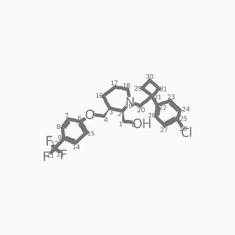 OC[C@H]1[C@@H](COc2ccc(C(F)(F)F)cc2)CCCN1CC1(c2ccc(Cl)cc2)CCC1